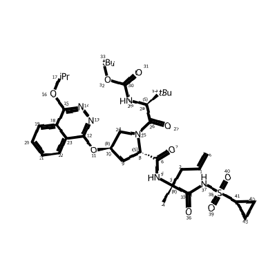 C=CC[C@@](C)(NC(=O)[C@@H]1C[C@@H](Oc2nnc(OC(C)C)c3ccccc23)CN1C(=O)[C@@H](NC(=O)OC(C)(C)C)C(C)(C)C)C(=O)NS(=O)(=O)C1CC1